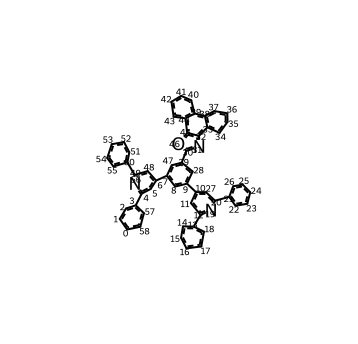 c1ccc(-c2cc(-c3cc(-c4cc(-c5ccccc5)nc(-c5ccccc5)c4)cc(-c4nc5c6ccccc6c6ccccc6c5o4)c3)cc(-c3ccccc3)n2)cc1